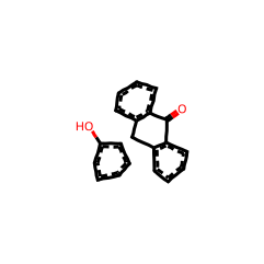 O=C1c2ccccc2Cc2ccccc21.Oc1ccccc1